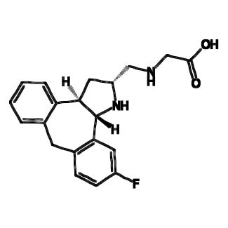 O=C(O)CNC[C@H]1C[C@@H]2c3ccccc3Cc3ccc(F)cc3[C@H]2N1